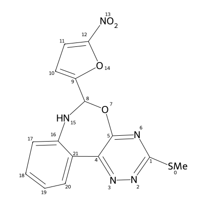 CSc1nnc2c(n1)OC(c1ccc([N+](=O)[O-])o1)Nc1ccccc1-2